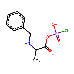 CC(NCc1ccccc1)C(=O)OP(=O)(O)Cl